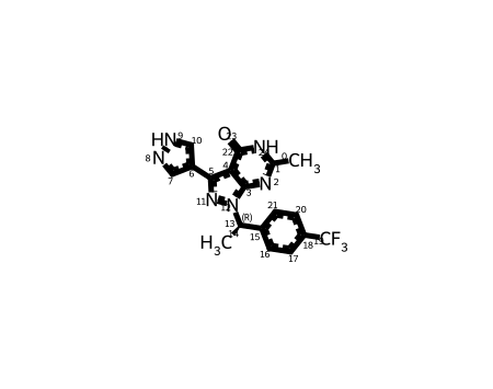 Cc1nc2c(c(-c3cn[nH]c3)nn2[C@H](C)c2ccc(C(F)(F)F)cc2)c(=O)[nH]1